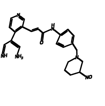 N=C/C(=C\N)c1ccncc1/C=C/C(=O)Nc1ccc(CN2CCCC(N=O)C2)cc1